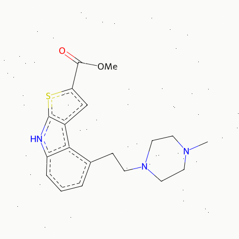 COC(=O)c1cc2c([nH]c3cccc(CCN4CCN(C)CC4)c32)s1